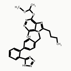 CCCCc1nc2c(OC(C)OC)nnc(O)c2n1Cc1ccc(-c2ccccc2-c2nnn[nH]2)cc1